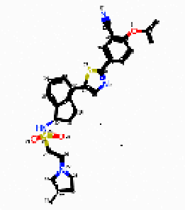 CC(C)Oc1ccc(-c2ncc(-c3cccc4c3CC[C@H]4NS(=O)(=O)CCN3CC[C@@H](C)C3)s2)cc1C#N